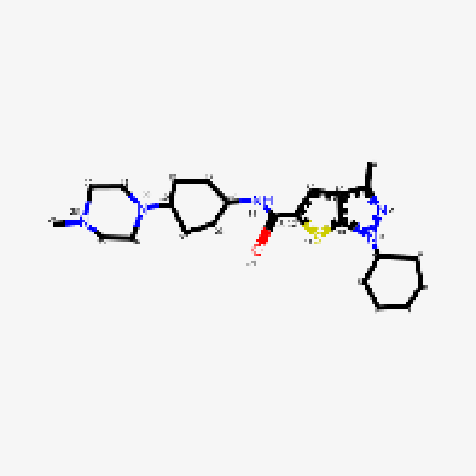 Cc1nn(C2CCCCC2)c2sc(C(=O)NC3CCC(N4CCN(C)CC4)CC3)cc12